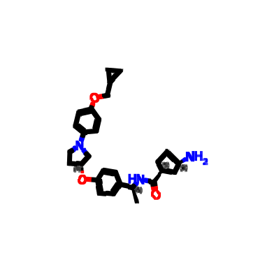 C[C@H](NC(=O)[C@H]1CC[C@@H](N)C1)c1ccc(O[C@@H]2CCN(c3ccc(OCC4CC4)cc3)C2)cc1